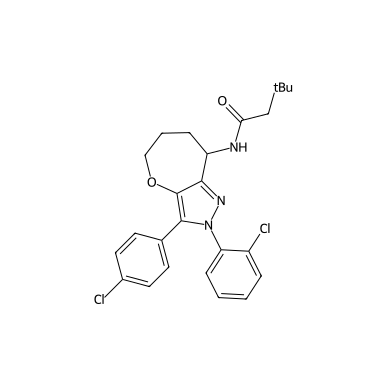 CC(C)(C)CC(=O)NC1CCCOc2c1nn(-c1ccccc1Cl)c2-c1ccc(Cl)cc1